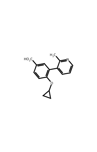 Cc1ncccc1-c1cc(C(=O)O)ccc1OC1CC1